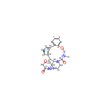 CN1COc2ccccc2-c2cccc(c2F)CC2N(CCCC23COCC(=O)N3)C1=O